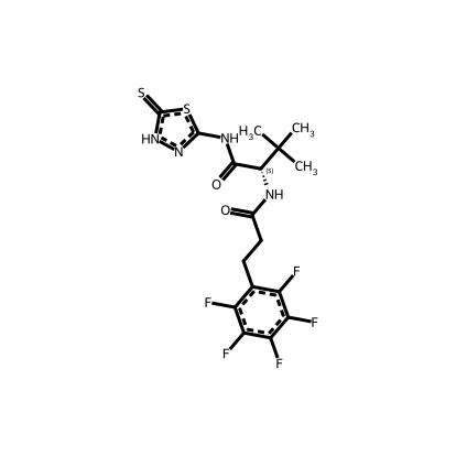 CC(C)(C)[C@H](NC(=O)CCc1c(F)c(F)c(F)c(F)c1F)C(=O)Nc1n[nH]c(=S)s1